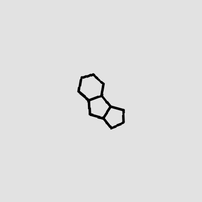 C1CCC2C(C1)CC1CCCC12